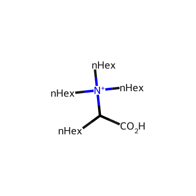 CCCCCCC(C(=O)O)[N+](CCCCCC)(CCCCCC)CCCCCC